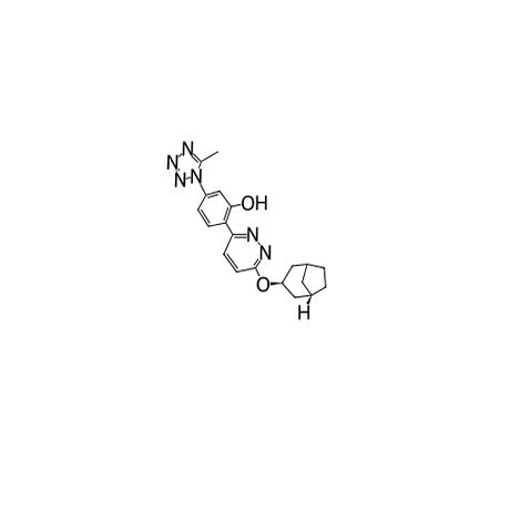 Cc1nnnn1-c1ccc(-c2ccc(O[C@H]3CC4CC[C@@H](C4)C3)nn2)c(O)c1